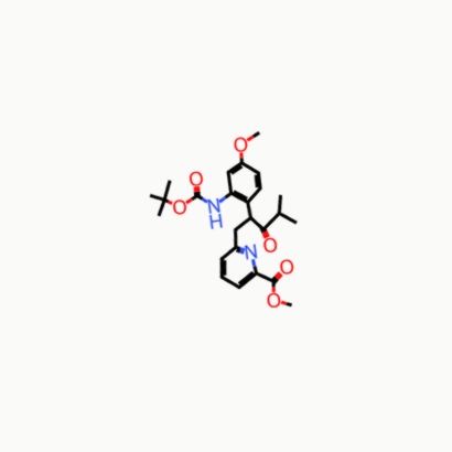 COC(=O)c1cccc(CC(C(=O)C(C)C)c2ccc(OC)cc2NC(=O)OC(C)(C)C)n1